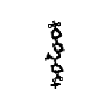 CC(C)(C)OC(=O)N1CCC(N(Cc2ccc(-c3ccc(S(C)(=O)=O)cc3)nc2)C2CC2)CC1